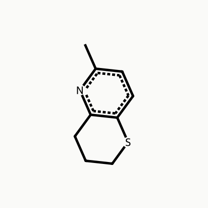 Cc1ccc2c(n1)CCCS2